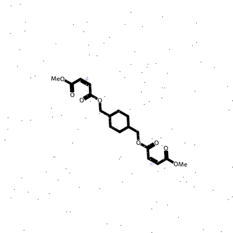 COC(=O)/C=C\C(=O)OCC1CCC(COC(=O)/C=C\C(=O)OC)CC1